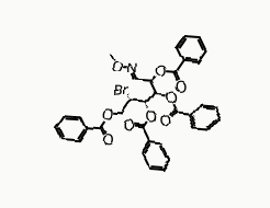 CO/N=C/[C@@H](OC(=O)c1ccccc1)[C@@H](OC(=O)c1ccccc1)[C@H](OC(=O)c1ccccc1)[C@@H](Br)COC(=O)c1ccccc1